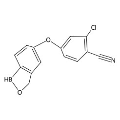 N#Cc1ccc(Oc2ccc3c(c2)COB3)cc1Cl